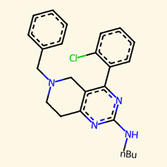 CCCCNc1nc2c(c(-c3ccccc3Cl)n1)CN(Cc1ccccc1)CC2